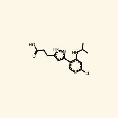 CC(C)Nc1cc(Cl)ncc1-c1cc(CCC(=O)O)[nH]n1